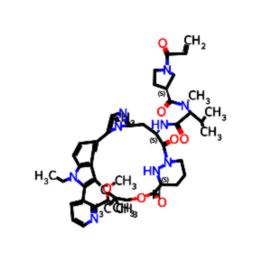 C=CC(=O)N1CC[C@H](C(=O)N(C)C(C(=O)N[C@H]2Cc3ncc(n3C)-c3ccc4c(c3)c(c(-c3cccnc3[C@H](C)OC)n4CC)CC(C)(C)COC(=O)[C@@H]3CCCN(N3)C2=O)C(C)C)C1